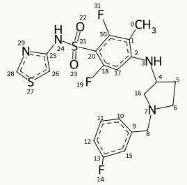 Cc1c(NC2CCN(Cc3cccc(F)c3)C2)cc(F)c(S(=O)(=O)Nc2cscn2)c1F